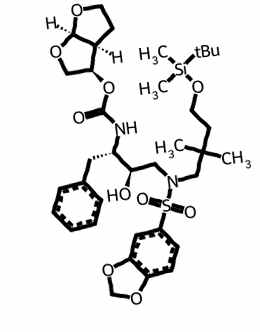 CC(C)(CCO[Si](C)(C)C(C)(C)C)CN(C[C@@H](O)[C@H](Cc1ccccc1)NC(=O)O[C@H]1CO[C@H]2OCC[C@H]21)S(=O)(=O)c1ccc2c(c1)OCO2